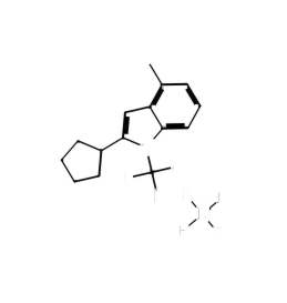 Cc1cccc2c1cc(C1CCCC1)[s+]2C(F)(F)F.F[B-](F)(F)F